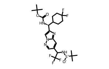 CC(C)(C)OC(=O)N[C@H](c1cn2ncc(C(N[S+]([O-])C(C)(C)C)C(F)(F)F)cc2n1)C1CCC(F)(F)CC1